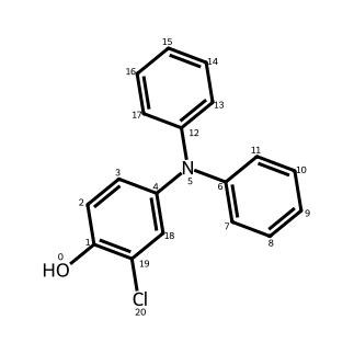 Oc1ccc(N(c2ccccc2)c2ccccc2)cc1Cl